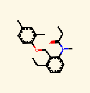 CCC(=O)N(C)c1cccc(CC)c1COc1ccc(C)cc1C